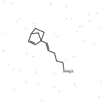 CCCCCCCCCCC=CC12C=CC(CC1)C2